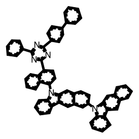 c1ccc(-c2ccc(-c3nc(-c4ccccc4)nc(-c4ccc(-n5c6ccccc6c6cc7cc(-n8c9ccccc9c9cc%10ccccc%10cc98)ccc7cc65)c5ccccc45)n3)cc2)cc1